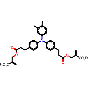 C=C(COC(=O)CCc1ccc(N(c2ccc(CCC(=O)OCC(=C)C(=O)OCC)cc2)c2ccc(C)c(C)c2)cc1)C(=O)OCC